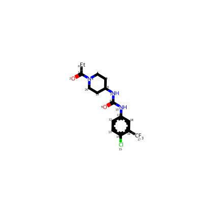 CCC(=O)N1CCC(NC(=O)Nc2ccc(Cl)c(C(F)(F)F)c2)CC1